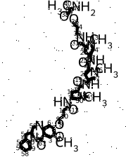 COc1cc2c(cc1OCCCC(=O)Nc1cc(C(=O)Nc3cc(C(=O)Nc4cc(C(=O)NCCCOC(=O)[C@H](C)N)n(C)c4)n(C)c3)n(C)c1)N=CC1Cc3ccccc3N1C2=O